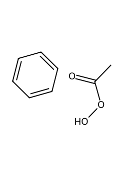 CC(=O)OO.c1ccccc1